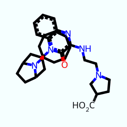 O=C(O)C1CCN(CCNc2nc3ccccc3n(C3CC4CCC(C3)N4C3CCCCCCC3)c2=O)C1